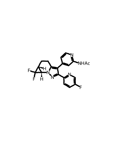 CC(=O)Nc1cc(-c2c(-c3ccc(F)cn3)nn3c2CC[C@@H]2[C@H]3C2(F)F)ccn1